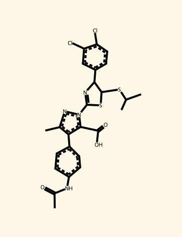 CC(=O)Nc1ccc(-c2c(C)nn(C3=NC(c4ccc(Cl)c(Cl)c4)C(SC(C)C)S3)c2C(=O)O)cc1